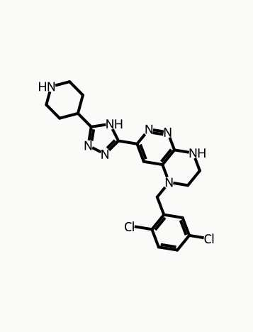 Clc1ccc(Cl)c(CN2CCNc3nnc(-c4nnc(C5CCNCC5)[nH]4)cc32)c1